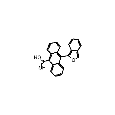 OB(O)c1c2ccccc2c(-c2occ3ccccc23)c2ccccc12